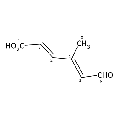 CC(/C=C/C(=O)O)=C\C=O